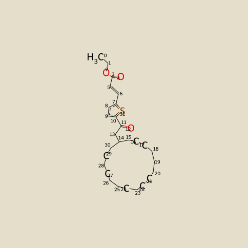 CCOC(=O)/C=C/c1ccc(C(=O)CC2CCCCCCCCCCCCCCCC2)s1